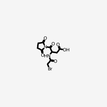 O=C(O)CC(NC(=O)CBr)C(=O)N1C(=O)CCC1=O